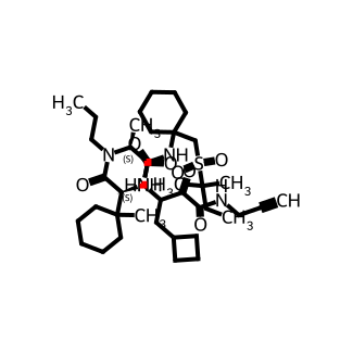 C#CCNC(=O)C(=O)C(CC1CCC1)NC(=O)[C@H](C)N(CCC)C(=O)[C@@H](NC(=O)NC1(CS(=O)(=O)C(C)(C)CC)CCCCC1)C1(C)CCCCC1